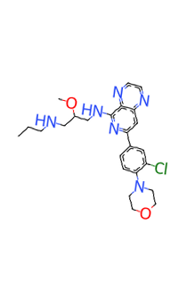 CCCNCC(CNc1nc(-c2ccc(N3CCOCC3)c(Cl)c2)cc2nccnc12)OC